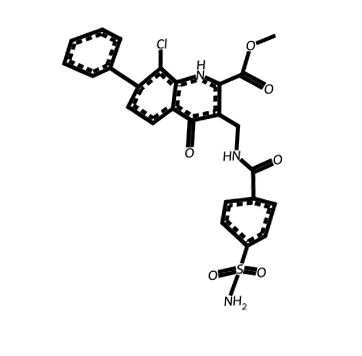 COC(=O)c1[nH]c2c(Cl)c(-c3ccccc3)ccc2c(=O)c1CNC(=O)c1ccc(S(N)(=O)=O)cc1